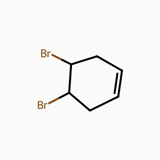 BrC1CC=CCC1Br